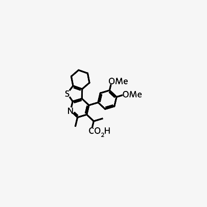 COc1ccc(-c2c(C(C)C(=O)O)c(C)nc3sc4c(c23)CCCC4)cc1OC